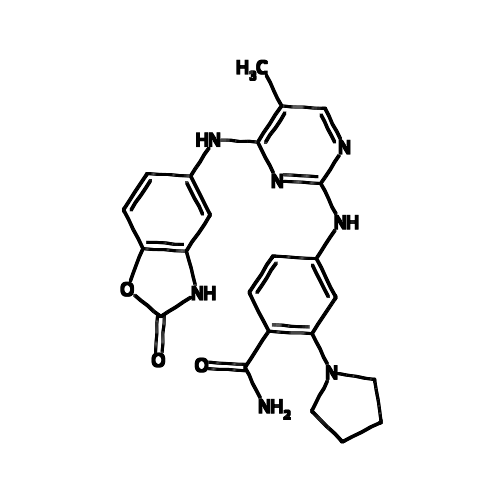 Cc1cnc(Nc2ccc(C(N)=O)c(N3CCCC3)c2)nc1Nc1ccc2oc(=O)[nH]c2c1